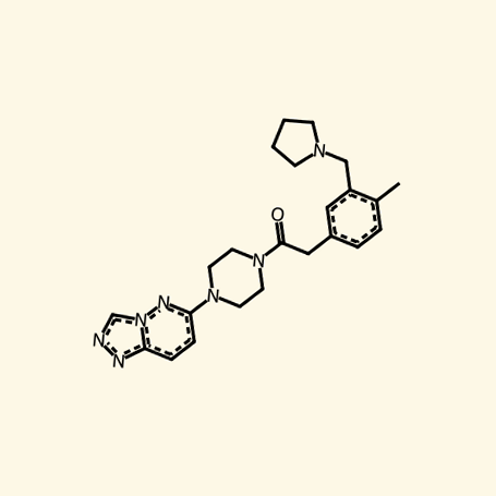 Cc1ccc(CC(=O)N2CCN(c3ccc4nncn4n3)CC2)cc1CN1CCCC1